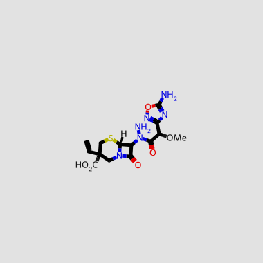 C=CC1(C(=O)O)CS[C@@H]2C(N(N)C(=O)C(OC)c3noc(N)n3)C(=O)N2C1